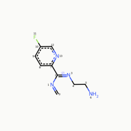 C=N/C(=N\CCN)c1ccc(F)cn1